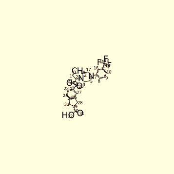 C=CC(N1CCN(c2cccc(C(F)(F)F)c2)CC1)S(=O)(=O)c1ccc2c(c1)CC(C(=O)O)C2